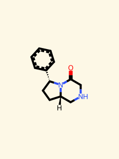 O=C1CNC[C@@H]2CC[C@H](c3ccccc3)N12